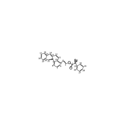 O=C(OC=Cc1cccc2c1ccc1cc3ccccc3cc12)C(Br)c1ccccc1